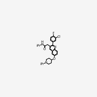 CC(C)NC(=O)Cc1cc2cc(OC3CCN(C(C)C)CC3)ccc2nc1-c1ccc(F)c(Cl)c1